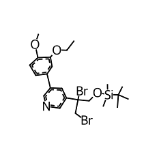 CCOc1cc(-c2cncc(C(Br)(CBr)CO[Si](C)(C)C(C)(C)C)c2)ccc1OC